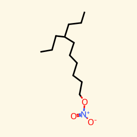 CCCC(CCC)CCCCCCO[N+](=O)[O-]